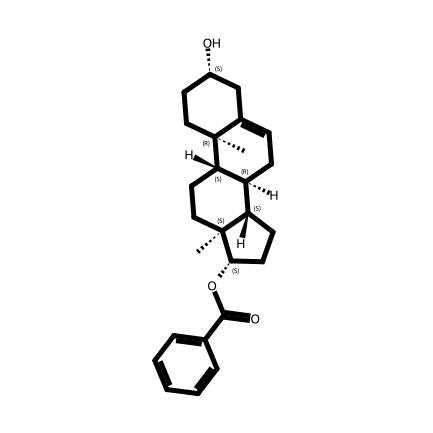 C[C@]12CC[C@H]3[C@@H](CC=C4C[C@@H](O)CC[C@@]43C)[C@@H]1CC[C@@H]2OC(=O)c1ccccc1